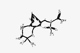 CC1(C)Oc2cc(CN(C(=O)O)S(C)(=O)=O)ccc2NC1=O